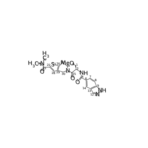 COC[C@@H](NC(=O)c1ccc2[nH]ncc2c1)C(=O)N1CCc2sc(C(=O)N(C)C)cc2C1